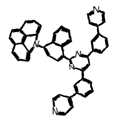 c1cc(-c2ccncc2)cc(-c2cc(-c3cccc(-c4ccncc4)c3)nc(-c3ccc(-n4c5cccc6ccc7cccc4c7c65)c4ccccc34)n2)c1